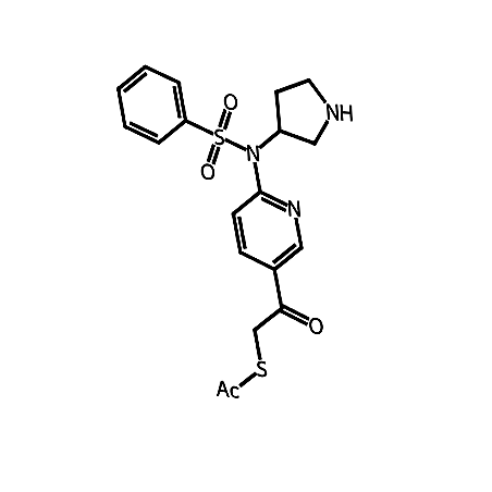 CC(=O)SCC(=O)c1ccc(N(C2CCNC2)S(=O)(=O)c2ccccc2)nc1